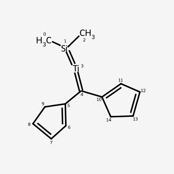 C[Si](C)=[Ti]=[C](C1=CC=CC1)C1=CC=CC1